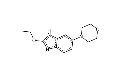 CCOc1nc2ccc(N3CCOCC3)cc2[nH]1